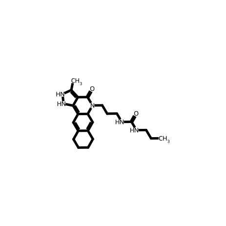 CCCNC(=O)NCCCN1C(=O)C2=C(C)NNC2=C2C=C3CCCCC3=CC21